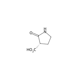 O=C(O)[C@H]1CCNC1=O